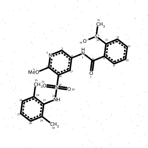 COc1ncc(NC(=O)c2ccccc2[S+](C)[O-])cc1S(=O)(=O)Nc1c(C)cccc1C